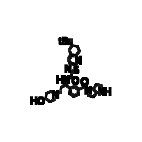 CC(C)(C)[C@H]1CCc2nc3sc(C(=O)NC(CCN4CCC(O)CC4)c4cccc(C(=O)N5CCC6NCCC65)c4)nc3cc2C1